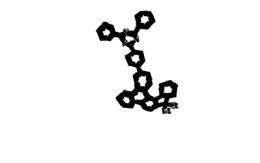 CCC1(CC)c2ccccc2-c2c1ccc1c3ccccc3c3cc(-c4ccc(-c5nc(-c6ccccc6)nc(-c6ccccc6)n5)cc4)ccc3c21